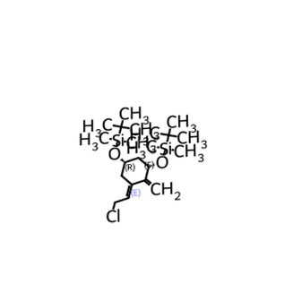 C=C1/C(=C/CCl)C[C@@H](O[Si](C)(C)C(C)(C)C)C[C@@H]1O[Si](C)(C)C(C)(C)C